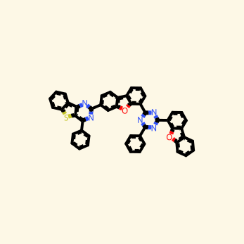 c1ccc(-c2nc(-c3cccc4c3oc3ccccc34)nc(-c3cccc4c3oc3cc(-c5nc(-c6ccccc6)c6sc7ccccc7c6n5)ccc34)n2)cc1